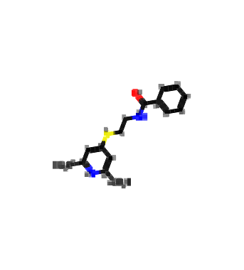 O=C(NCCSc1cc(C(=O)O)nc(C(=O)O)c1)c1ccccc1